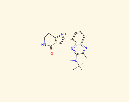 Cc1nc2cccc(-c3cc4c([nH]3)CCNC4=O)c2nc1N(C)C(C)(C)C